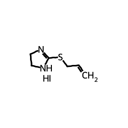 C=CCSC1=NCCN1.I